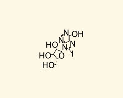 OC[C@H]1O[C@@H](n2c(I)nc3c(O)ncnc32)C(O)C1O